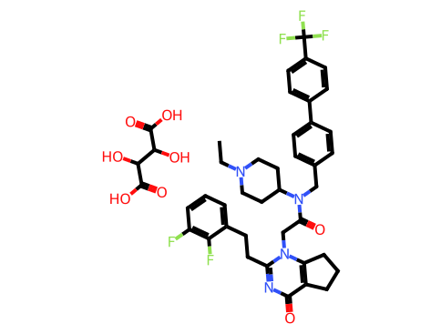 CCN1CCC(N(Cc2ccc(-c3ccc(C(F)(F)F)cc3)cc2)C(=O)Cn2c(CCc3cccc(F)c3F)nc(=O)c3c2CCC3)CC1.O=C(O)C(O)C(O)C(=O)O